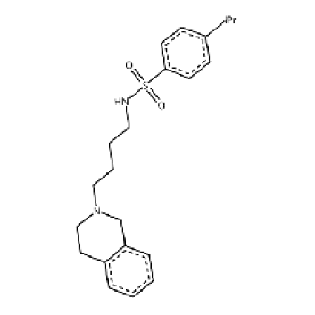 CC(C)c1ccc(S(=O)(=O)NCCCCN2CCc3ccccc3C2)cc1